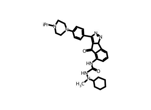 CC(C)N1CCN(c2ccc(C3=C4C(=O)c5c(NC(=O)NN(C)C6CCCCC6)cccc5C4N=N3)cc2)CC1